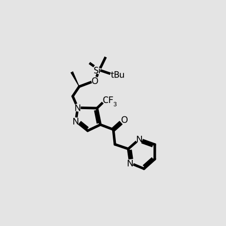 C[C@H](Cn1ncc(C(=O)Cc2ncccn2)c1C(F)(F)F)O[Si](C)(C)C(C)(C)C